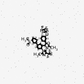 CC1=NC(c2cc(-c3cccc([S+](C)[O-])c3)ccc2-n2cc(C(F)(F)F)nc2C)C(c2cccc(OC(F)(F)C(F)(F)F)c2)O1